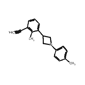 C#Cc1cccc(C2CN(c3ccc(C)cc3)C2)c1C